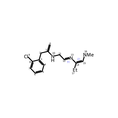 C=C(Cc1ccccc1Cl)NC/C=N/C(=C\NC)CC